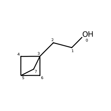 OCCC12CC(C1)C2